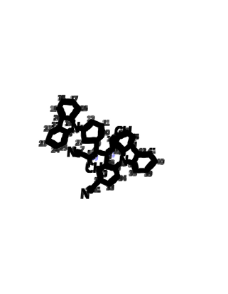 C=C/C=C(\C(=C(/C)C#N)c1cccc(-n2c3ccccc3c3ccccc32)c1)c1cc(C#N)ccc1-n1c2ccccc2c2ccccc21